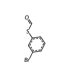 O=CSc1cccc(Br)c1